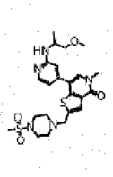 COCC(C)Nc1cc(-c2cn(C)c(=O)c3cc(CN4CCN(S(C)(=O)=O)CC4)sc23)ccn1